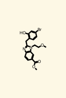 COCCn1c(Cc2ccc(Br)cc2O)nc2ccc(C(=O)OC)cc21